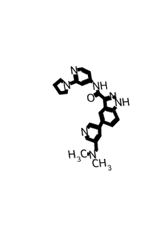 CN(C)Cc1cncc(-c2ccc3[nH]nc(C(=O)Nc4ccnc(N5CCCC5)c4)c3c2)c1